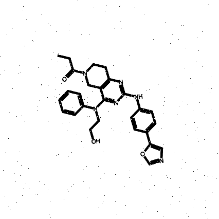 CCC(=O)N1CCc2nc(Nc3ccc(-c4cnco4)cc3)nc(N(CCO)c3ccccc3)c2C1